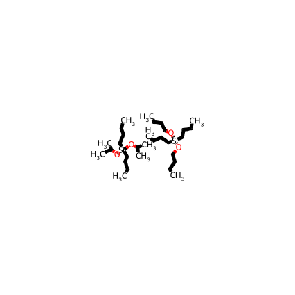 CCCCO[Si](CCCC)(CCCC)OCCCC.CCCC[Si](CCCC)(OC(C)C)OC(C)C